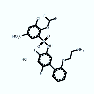 Cl.NCCOc1ccccc1-c1cc(NS(=O)(=O)c2cc(C(=O)O)cc(Cl)c2OC(F)F)c(F)cc1F